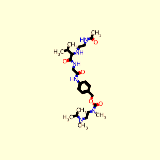 CC(=O)NCCNC(C(=O)NCC(=O)Nc1ccc(COC(=O)N(C)CCN(C)C(C)C)cc1)C(C)C